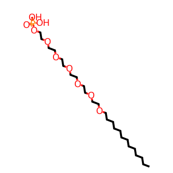 CCCCCCCCCCCCCOCCOCCOCCOCCOCCOCCOP(=O)(O)O